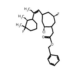 C/C(=C/C1C[C@@H](F)CC(CC(=O)OCc2ccccc2)[C@@H](Cl)C1)C1CCCC(C)(F)[C@H]1C